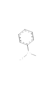 CC[O+](C)c1ccccc1